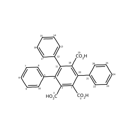 O=C(O)c1c(C(=O)O)c(-c2ccccc2)c(-c2ccccc2)c(C(=O)O)c1-c1ccccc1